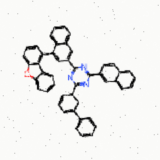 C1=CC(c2nc(-c3ccc4ccccc4c3)nc(-c3cc(-c4cccc5oc6ccccc6c45)c4ccccc4c3)n2)CC(c2ccccc2)=C1